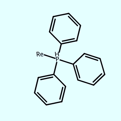 [Re][PH](c1ccccc1)(c1ccccc1)c1ccccc1